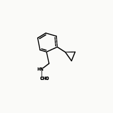 O=CNCc1ccccc1C1CC1